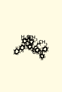 CCCCCC(CC)(c1ccc(N(c2ccccc2)c2ccccc2)cc1)c1ccc(N(c2ccc(C3CCCCC3)cc2)c2cccc3c2-c2ccccc2C3(C)C)cc1